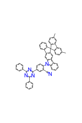 Cc1ccc2c(c1)-c1cc(C)ccc1C21c2ccccc2-c2cc3c(cc21)c1ccccc1n3-c1ccc(-c2nc(-c3ccccc3)nc(-c3ccccc3)n2)cc1C#N